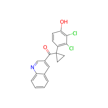 O=C(c1cnc2ccccc2c1)C1(c2ccc(O)c(Cl)c2Cl)CC1